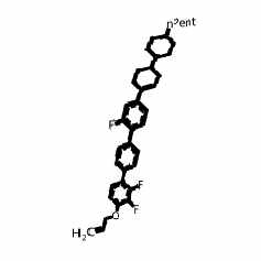 C=CCOc1ccc(-c2ccc(-c3ccc(C4=CCC(C5CCC(CCCCC)CC5)CC4)cc3F)cc2)c(F)c1F